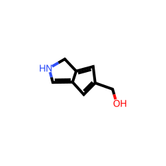 OCC1=CC2=CNCC2=C1